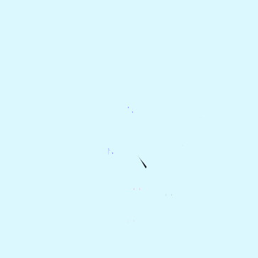 CS(=O)(=O)OCC1[C@@H](COS(C)(=O)=O)N(Cc2ccccc2)CCN1Cc1ccccc1